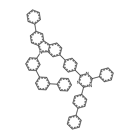 c1ccc(-c2ccc(-c3nc(-c4ccccc4)nc(-c4ccc(-c5ccc6c7cc(-c8ccccc8)ccc7n(-c7cccc(-c8cccc(-c9ccccc9)c8)c7)c6c5)cc4)n3)cc2)cc1